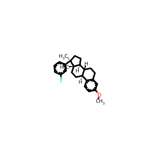 COc1ccc2c(c1)CC[C@@H]1[C@@H]2CC[C@@]2(C)[C@H]1CC[C@]2(C)c1cccc(F)c1